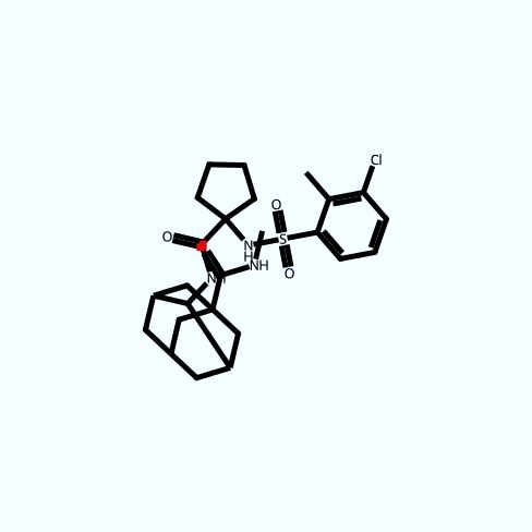 CNC(=O)C12CC3CC(C1)C(NC(=O)C1(NS(=O)(=O)c4cccc(Cl)c4C)CCCC1)C(C3)C2